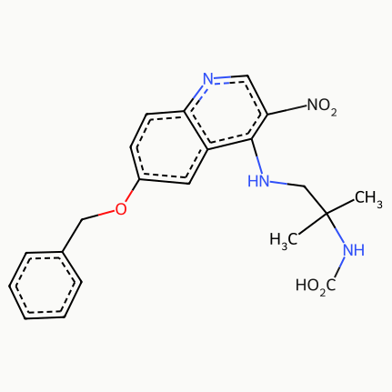 CC(C)(CNc1c([N+](=O)[O-])cnc2ccc(OCc3ccccc3)cc12)NC(=O)O